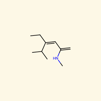 C=C(C=C(CC)C(C)C)NC